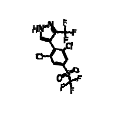 O=S(=O)(c1cc(Cl)c(-c2c[nH]nc2C(F)(F)F)c(Cl)c1)C(F)(F)F